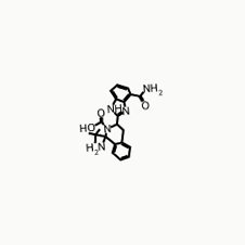 CC(C)(C)C1(N)c2ccccc2CC(c2nc3c(C(N)=O)cccc3[nH]2)N1C(=O)O